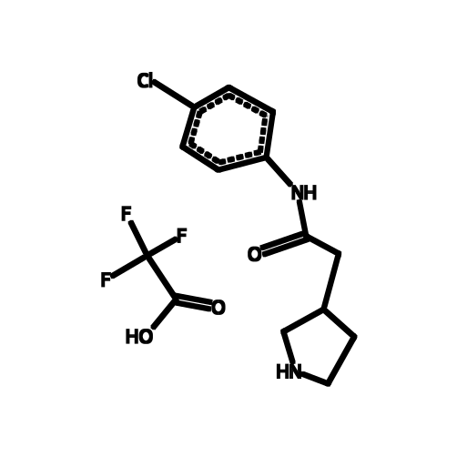 O=C(CC1CCNC1)Nc1ccc(Cl)cc1.O=C(O)C(F)(F)F